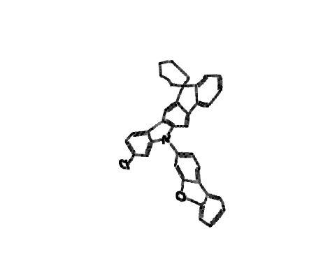 Clc1ccc2c3cc4c(cc3n(-c3ccc5c(c3)oc3ccccc35)c2c1)-c1ccccc1C41CCCCC1